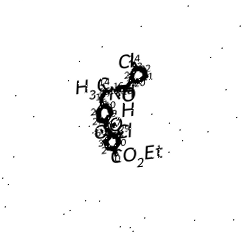 CCOC(=O)c1ccc(S(=O)(=O)c2ccc(C[C@@H](C)NC[C@@H](O)c3cccc(Cl)c3)cc2)c(Cl)c1